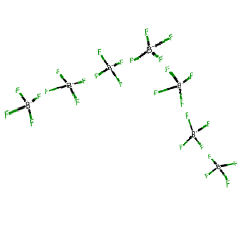 F[B-](F)(F)F.F[B-](F)(F)F.F[B-](F)(F)F.F[B-](F)(F)F.F[B-](F)(F)F.F[B-](F)(F)F.F[B-](F)(F)F